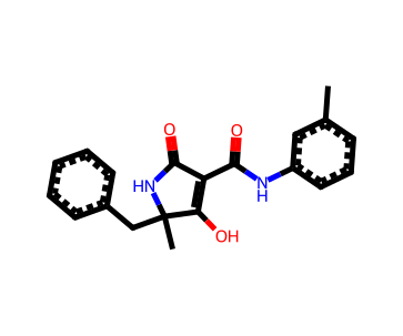 Cc1cccc(NC(=O)C2=C(O)C(C)(Cc3ccccc3)NC2=O)c1